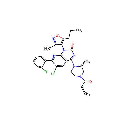 C=CC(=O)N1CCN(c2nc(=O)n(-c3c(C)noc3CCC)c3nc(-c4ccccc4F)c(Cl)cc23)[C@@H](C)C1